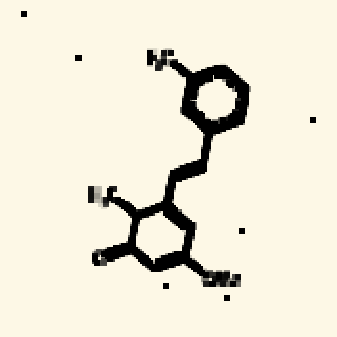 COC1=CC(=O)C(C)C(/C=C/c2cccc(C(F)(F)F)c2)=C1